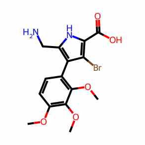 COc1ccc(-c2c(CN)[nH]c(C(=O)O)c2Br)c(OC)c1OC